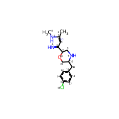 CN/C(C)=C\C(=N)C1CNC(Cc2ccc(Cl)cc2)CO1